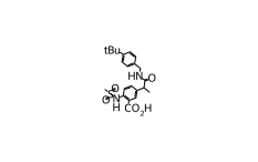 CC(C(=O)NCc1ccc(C(C)(C)C)cc1)c1ccc(NS(C)(=O)=O)c(C(=O)O)c1